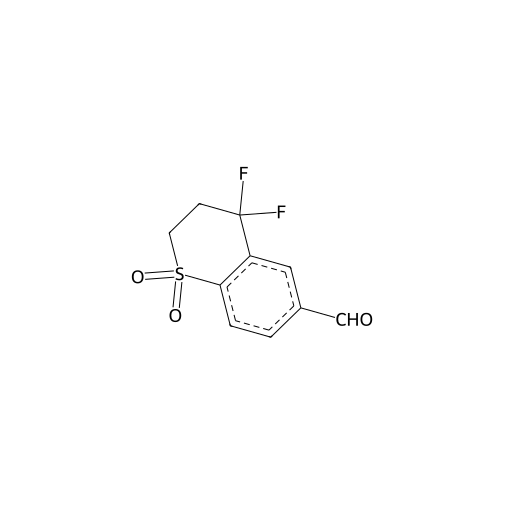 O=Cc1ccc2c(c1)C(F)(F)CCS2(=O)=O